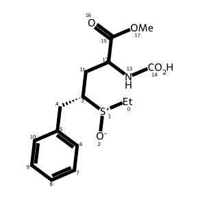 CC[S+]([O-])[C@H](Cc1ccccc1)CC(NC(=O)O)C(=O)OC